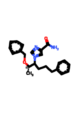 C[C@H](OCc1ccccc1)C(CCCc1ccccc1)n1cnc(C(N)=O)c1